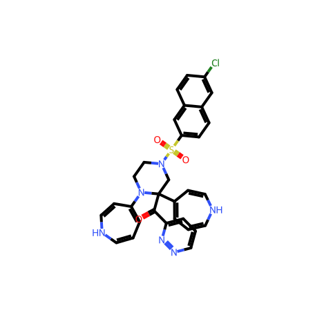 O=C(c1cccnn1)C1(C2=CC=CNC=C2)CN(S(=O)(=O)c2ccc3cc(Cl)ccc3c2)CCN1C1=CC=CNC=C1